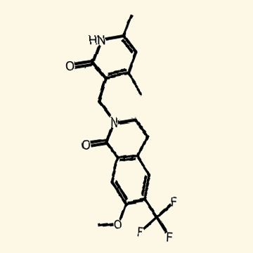 COc1cc2c(cc1C(F)(F)F)CCN(Cc1c(C)cc(C)[nH]c1=O)C2=O